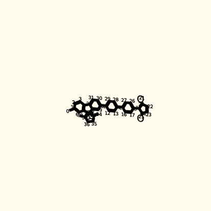 Cc1ccc2c(c1)C1(c3cc(-c4ccc(-c5ccc(C6C(=O)C=CC6=O)cc5)cc4)ccc3-2)C2(C)CCC1(C)CC2